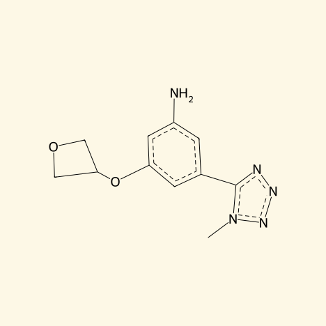 Cn1nnnc1-c1cc(N)cc(OC2COC2)c1